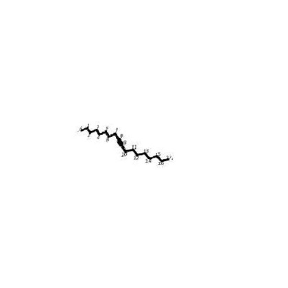 [CH2]CCCCCCCC#CCCCCCCC[CH2]